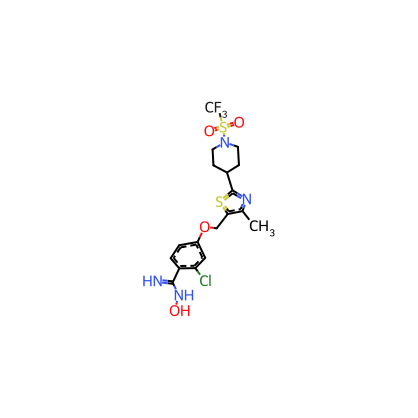 Cc1nc(C2CCN(S(=O)(=O)C(F)(F)F)CC2)sc1COc1ccc(C(=N)NO)c(Cl)c1